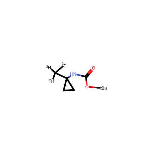 [2H]C([2H])([2H])C1(NC(=O)OC(C)(C)C)CC1